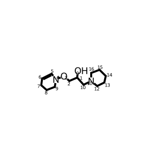 OC(CON1C=CCCC1)CN1CCCCC1